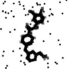 CCN1CCCC(CC2=CCN(C(=O)Nc3ccc(Cl)c(Cl)c3)CC2)C1